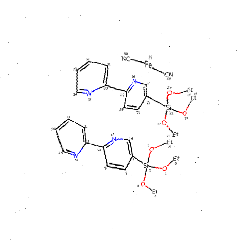 CCO[Si](OCC)(OCC)c1ccc(-c2ccccn2)nc1.CCO[Si](OCC)(OCC)c1ccc(-c2ccccn2)nc1.N#[C][Fe][C]#N